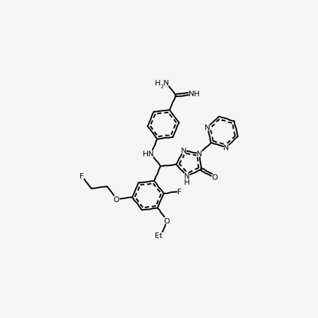 CCOc1cc(OCCF)cc(C(Nc2ccc(C(=N)N)cc2)c2nn(-c3ncccn3)c(=O)[nH]2)c1F